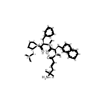 CN(C)C[C@@H]1CCCN1C(=O)[C@@H](Cc1ccccc1)N(C)C(=O)[C@@H](Cc1ccc2ccccc2c1)N(C)C(=O)C=CCC(C)(C)N